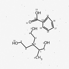 CC(CO)N(CCO)CCO.O=C(O)c1ccccc1